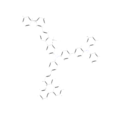 CC1(C)c2cc(-c3cccc4c3sc3ccccc34)ccc2-c2ccc(N(c3ccc(-c4ccc(N(c5ccccc5)c5ccccc5)cc4)cc3)c3ccc(-c4ccc5c6ccccc6c6ccccc6c5c4)cc3)cc21